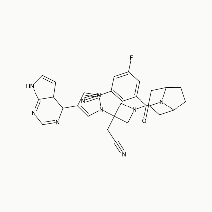 N#CCC1(n2cc(C3N=CN=C4NC=CC43)cn2)CN(C2CC3CCC(C2)N3C(=O)c2cc(F)cc(C#N)c2)C1